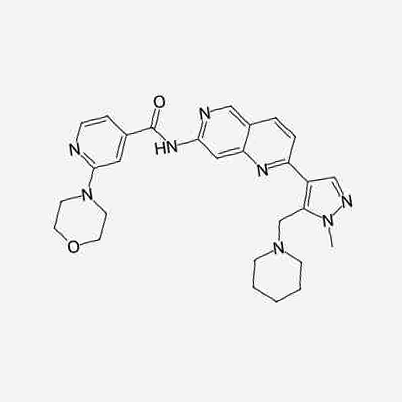 Cn1ncc(-c2ccc3cnc(NC(=O)c4ccnc(N5CCOCC5)c4)cc3n2)c1CN1CCCCC1